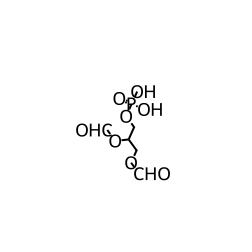 O=COCC(COP(=O)(O)O)OC=O